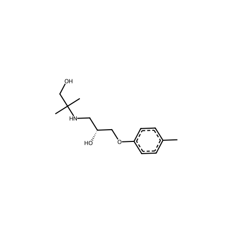 Cc1ccc(OC[C@H](O)CNC(C)(C)CO)cc1